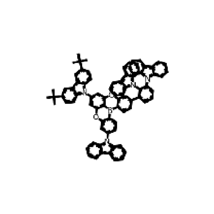 CC(C)(C)c1ccc2c(c1)c1cc(C(C)(C)C)ccc1n2-c1cc2c3c(c1)Oc1cc(-n4c5ccccc5c5ccccc54)ccc1B3c1ccc(-c3cccc(-n4c5ccccc5c5ccccc54)c3-n3c4ccccc4c4ccccc43)cc1O2